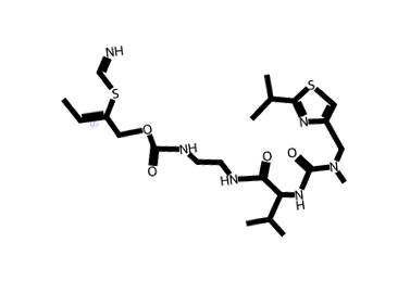 C/C=C(/COC(=O)NCCNC(=O)C(NC(=O)N(C)Cc1csc(C(C)C)n1)C(C)C)SC=N